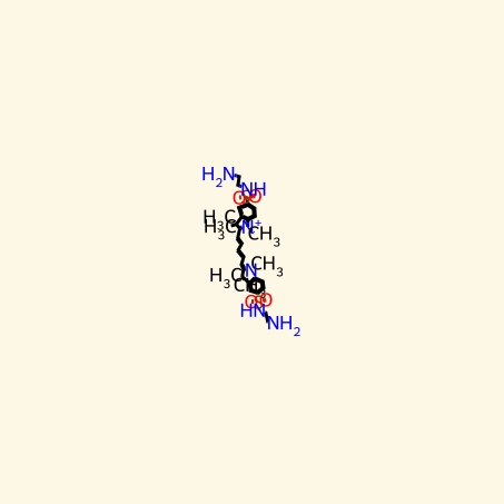 CN1\C(=C/C=C/C=C/C2=[N+](C)c3ccc(S(=O)(=O)NCCN)cc3C2(C)C)C(C)(C)c2cc(S(=O)(=O)NCCN)ccc21